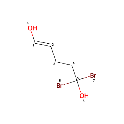 OC=CCCC(O)(Br)Br